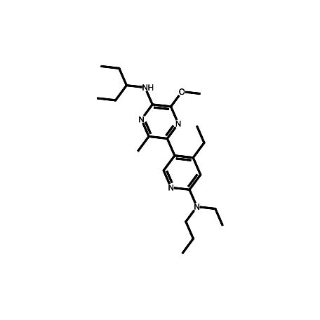 CCCN(CC)c1cc(CC)c(-c2nc(OC)c(NC(CC)CC)nc2C)cn1